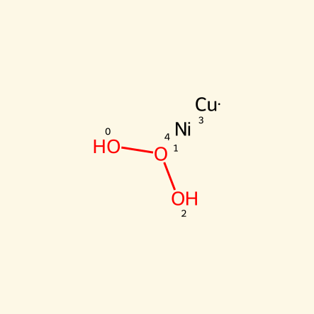 OOO.[Cu].[Ni]